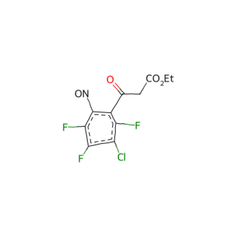 CCOC(=O)CC(=O)c1c(F)c(Cl)c(F)c(F)c1N=O